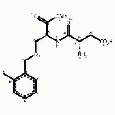 COC(=O)[C@H](COCc1ccccc1C)NC(=O)[C@@H](N)CC(=O)O